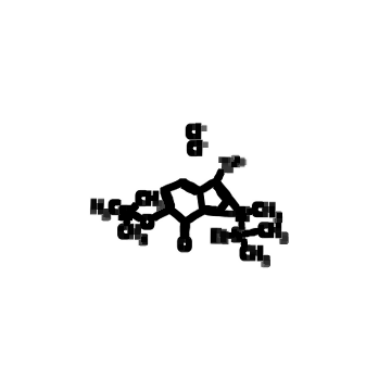 CC[Si](C)(C)[Si]1(C)C2=[C]([Ti+2])C3=CC=C(O[Si](C)(C)C)C(=O)C3=C21.[Cl-].[Cl-]